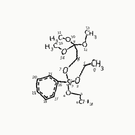 CCO[Si](OCC)(OCC(OC)(OC)OC)c1ccccc1